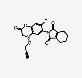 C#CCON1CC(=O)Oc2cc(F)c(N3C(=O)C4=C(CCCC4)C3=O)cc21